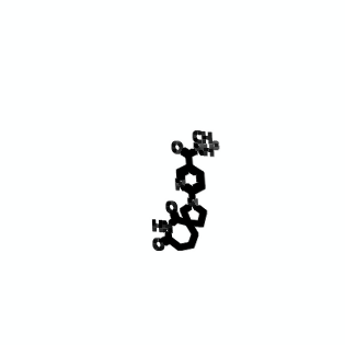 CNC(=O)c1ccc(N2CCC3(CCCC(=O)NC3=O)C2)nc1